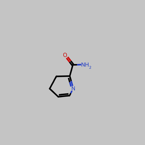 NC(=O)C1=NC=CCC1